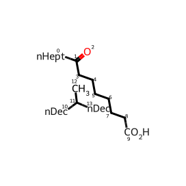 CCCCCCCC(=O)CCCCCCC(=O)O.CCCCCCCCCCC(C)CCCCCCCCCC